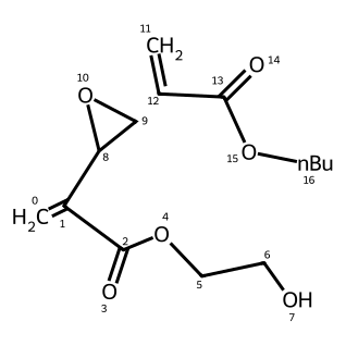 C=C(C(=O)OCCO)C1CO1.C=CC(=O)OCCCC